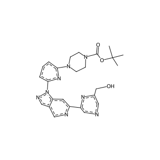 CC(C)(C)OC(=O)N1CCN(c2cccc(-n3ncc4cnc(-c5cncc(CO)n5)cc43)n2)CC1